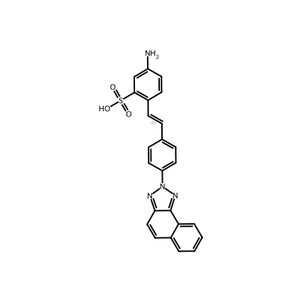 Nc1ccc(/C=C/c2ccc(-n3nc4ccc5ccccc5c4n3)cc2)c(S(=O)(=O)O)c1